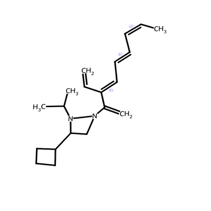 C=C\C(=C/C=C/C=C\C)C(=C)N1CC(C2CCC2)N1C(C)C